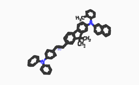 Cc1ccccc1N(c1ccc2c(c1)C(C)(C)c1cc(/C=C/c3ccc(N(c4ccccc4)c4ccccc4)cc3)ccc1-2)c1ccc2ccccc2c1